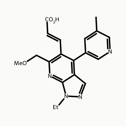 CCn1ncc2c(-c3cncc(C)c3)c(/C=C/C(=O)O)c(COC)nc21